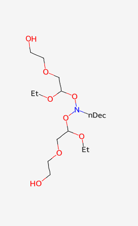 CCCCCCCCCCN(OC(COCCO)OCC)OC(COCCO)OCC